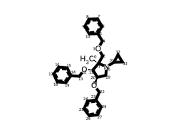 C[C@@]1(COCc2ccccc2)[C@@H](OCc2ccccc2)[C@H](OCc2ccccc2)CN1C1CC1